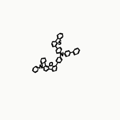 c1ccc(-c2ccc(N(c3ccc(-c4cccc5c4oc4c5ccc5c4c4ccccc4n5-c4ccccc4)cc3)c3ccc(-c4cccc5c4sc4ccccc45)cc3)cc2)cc1